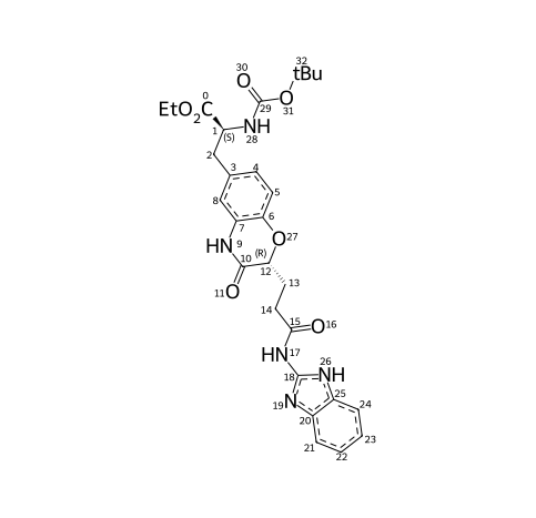 CCOC(=O)[C@H](Cc1ccc2c(c1)NC(=O)[C@@H](CCC(=O)Nc1nc3ccccc3[nH]1)O2)NC(=O)OC(C)(C)C